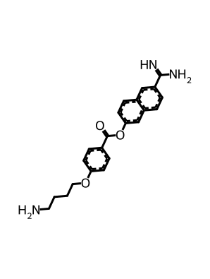 N=C(N)c1ccc2cc(OC(=O)c3ccc(OCCCCN)cc3)ccc2c1